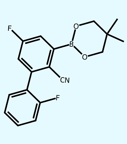 CC1(C)COB(c2cc(F)cc(-c3ccccc3F)c2C#N)OC1